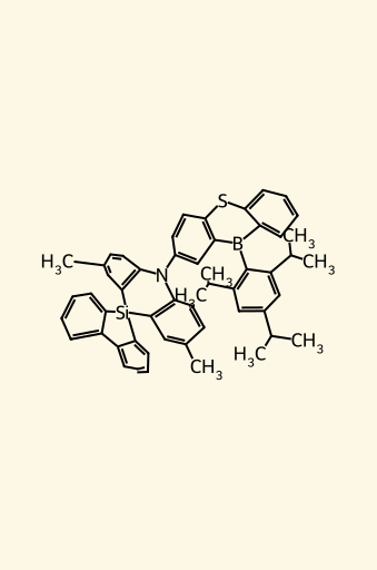 Cc1ccc2c(c1)[Si]1(c3ccccc3-c3ccccc31)c1cc(C)ccc1N2c1ccc2c(c1)B(c1c(C(C)C)cc(C(C)C)cc1C(C)C)c1ccccc1S2